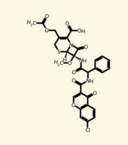 CO[C@@]1(NC(=O)C(NC(=O)c2coc3cc(Cl)ccc3c2=O)c2ccccc2)C(=O)N2C(C(=O)O)=C(COC(C)=O)CS[C@H]21